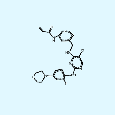 C=CC(=O)Nc1cccc(CNc2nc(Nc3ccc(N4CCOCC4)cc3F)ncc2Cl)c1